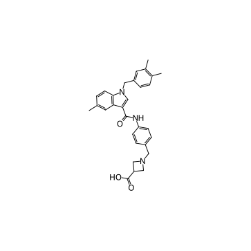 Cc1ccc2c(c1)c(C(=O)Nc1ccc(CN3CC(C(=O)O)C3)cc1)cn2Cc1ccc(C)c(C)c1